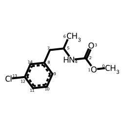 COC(=O)NC(C)Cc1cccc(Cl)c1